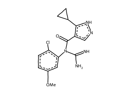 COc1ccc(Cl)c(N(C(=N)N)C(=O)c2cn[nH]c2C2CC2)c1